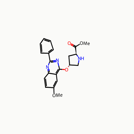 COC(=O)[C@@H]1C[C@@H](Oc2nc(-c3ccccc3)nc3ccc(OC)cc23)CN1